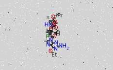 CCOc1nc(N)nc2c1ncn2[C@@H]1O[C@@H]2CO[P@@](=O)(N[C@H](C)C(=O)OC(C)C)O[C@H]2[C@@]1(C)F